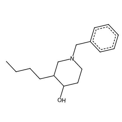 CCCCC1CN(Cc2ccccc2)CCC1O